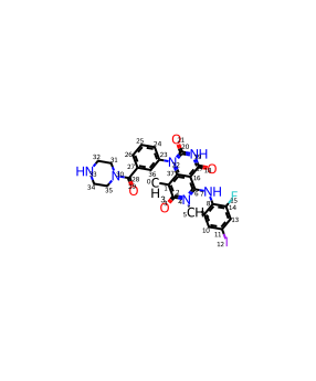 Cc1c(=O)n(C)c(Nc2ccc(I)cc2F)c2c(=O)[nH]c(=O)n(-c3cccc(C(=O)N4CCNCC4)c3)c12